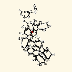 C=C(CC)CC(CC)CCc1ccc(-c2ccccc2N(c2ccc3c(c2)-c2ccccc2C3(C)C)c2ccc3c(c2)C2(c4ccccc4-c4ccccc42)c2ccccc2-3)cc1